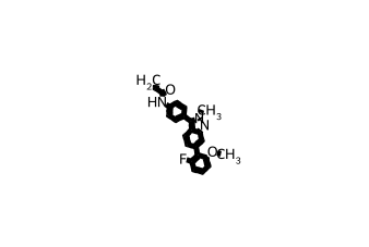 C=CC(=O)Nc1ccc(-c2c3ccc(-c4c(F)cccc4OC)cc3nn2C)cc1